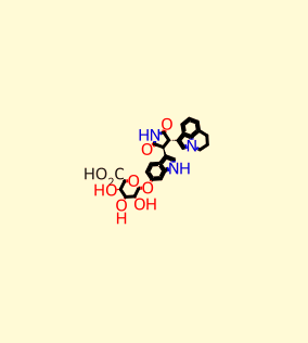 O=C(O)[C@H]1OC(Oc2ccc3c([C@H]4C(=O)NC(=O)[C@@H]4c4cn5c6c(cccc46)CCC5)c[nH]c3c2)[C@H](O)[C@@H](O)[C@@H]1O